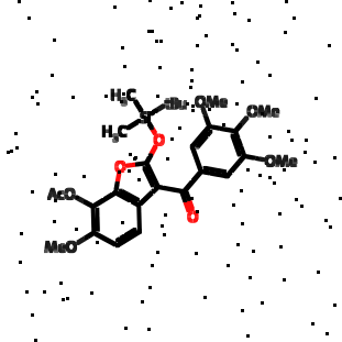 COc1cc(C(=O)c2c(O[Si](C)(C)C(C)(C)C)oc3c(OC(C)=O)c(OC)ccc23)cc(OC)c1OC